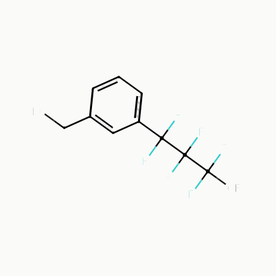 CC(C)[CH]c1cccc(C(F)(F)C(F)(F)C(F)(F)C(F)(F)F)c1